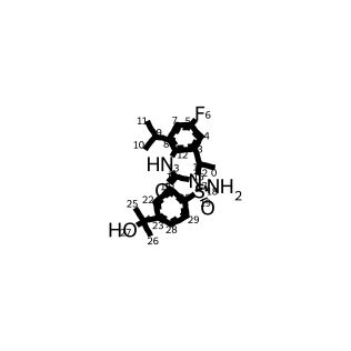 CC(C)c1cc(F)cc(C(C)C)c1NC(=O)N=S(N)(=O)c1ccc(C(C)(C)O)cc1